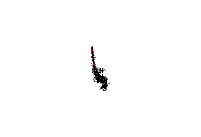 CCCCCCCCCCCCCCOc1ccc(C(Nc2ccc(C[n+]3csc(C)c3)cc2)C(=O)NC)cc1.[Br-]